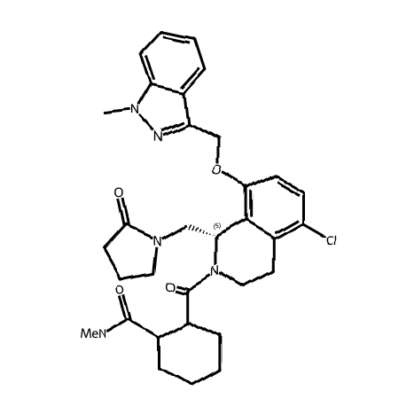 CNC(=O)C1CCCCC1C(=O)N1CCc2c(Cl)ccc(OCc3nn(C)c4ccccc34)c2[C@H]1CN1CCCC1=O